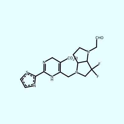 CCOC(=O)C1=C(CN2CC(F)(F)C3C2CCN3CC=O)NC(c2nccs2)=NC1